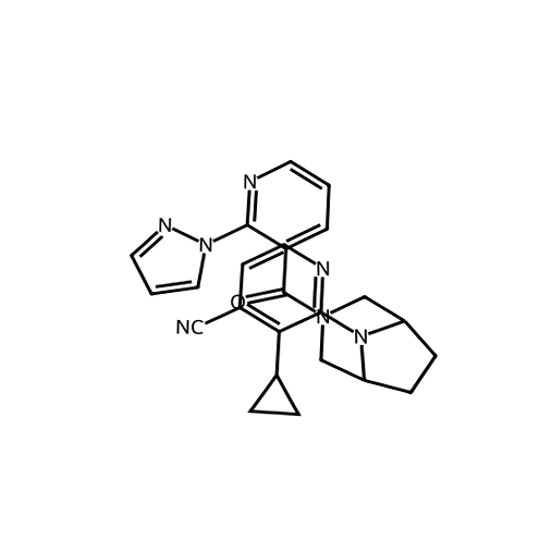 N#Cc1ccnc(N2C3CCC2CN(C(=O)c2cccnc2-n2cccn2)C3)c1C1CC1